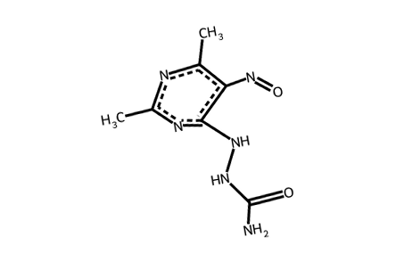 Cc1nc(C)c(N=O)c(NNC(N)=O)n1